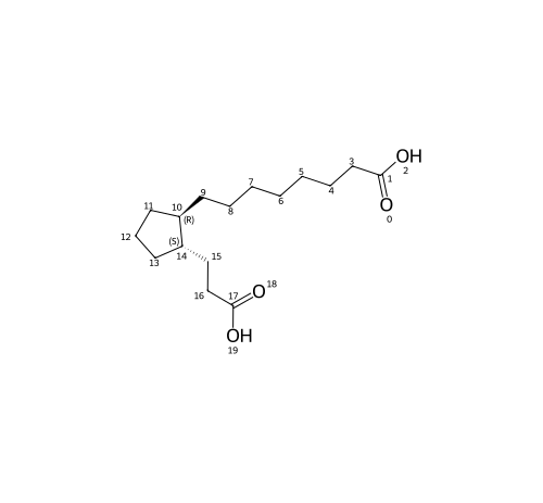 O=C(O)CCCCCCC[C@@H]1CCC[C@H]1CCC(=O)O